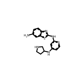 Nc1ccc2nc(Nc3cc(NC4CCNC4)ccn3)sc2c1